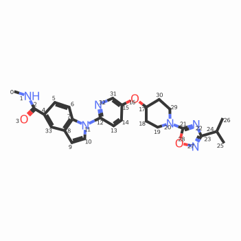 CNC(=O)c1ccc2c(ccn2-c2ccc(OC3CCN(c4nc(C(C)C)no4)CC3)cn2)c1